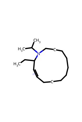 CCC1/C=C\CCCCCCCCCN1C(C)C